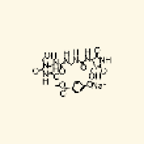 COC(=O)c1ccc([O-])cc1.O=C(NCNC(=O)NC1C(=O)NC(=O)N1CO)NC1C(=O)NC(=O)N1CO.[Na+]